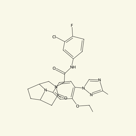 CCOc1cc(N2C3CCC2CN(CC(=O)Nc2ccc(F)c(Cl)c2)C(=O)C3)ccc1-n1cnc(C)n1